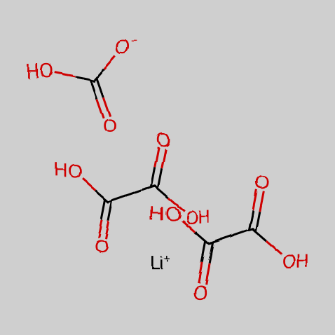 O=C(O)C(=O)O.O=C(O)C(=O)O.O=C([O-])O.[Li+]